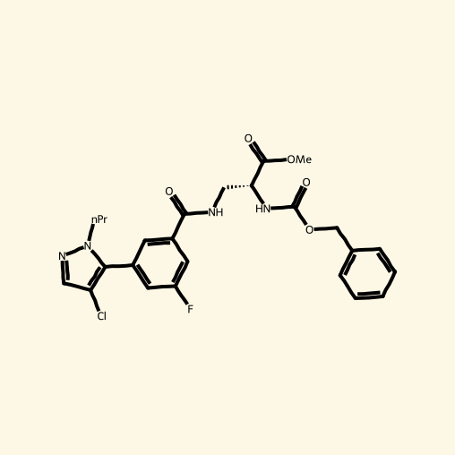 CCCn1ncc(Cl)c1-c1cc(F)cc(C(=O)NC[C@@H](NC(=O)OCc2ccccc2)C(=O)OC)c1